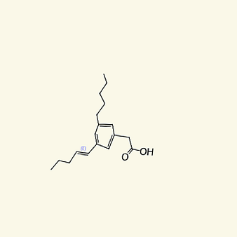 CCC/C=C/c1cc(CCCCC)cc(CC(=O)O)c1